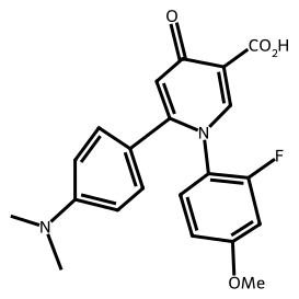 COc1ccc(-n2cc(C(=O)O)c(=O)cc2-c2ccc(N(C)C)cc2)c(F)c1